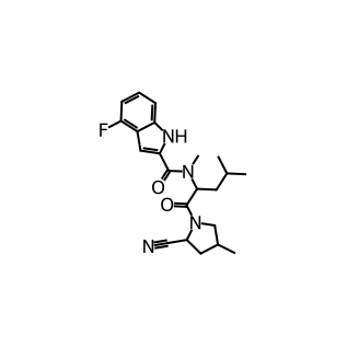 CC(C)CC(C(=O)N1CC(C)CC1C#N)N(C)C(=O)c1cc2c(F)cccc2[nH]1